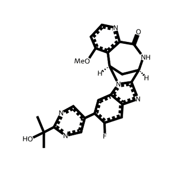 COc1ccnc2c1[C@H]1C[C@@H](NC2=O)c2nc3cc(F)c(-c4cnc(C(C)(C)O)nc4)cc3n21